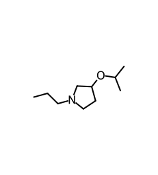 CCCN1CCC(OC(C)C)C1